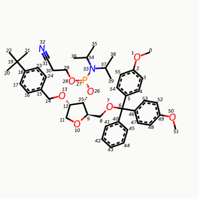 COc1ccc(C(OC[C@H]2OC[C@H](OCc3ccc(C(C)(C)C)cc3)[C@@H]2OP(OCCC#N)N(C(C)C)C(C)C)(c2ccccc2)c2ccc(OC)cc2)cc1